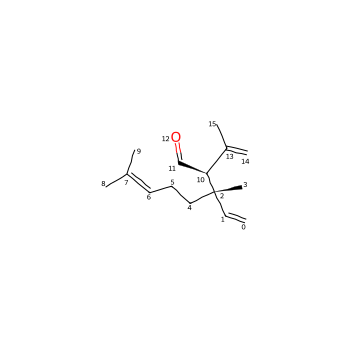 C=C[C@](C)(CCC=C(C)C)[C@@H](C=O)C(=C)C